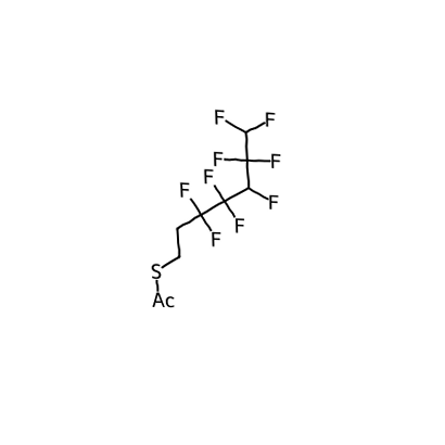 CC(=O)SCCC(F)(F)C(F)(F)C(F)C(F)(F)C(F)F